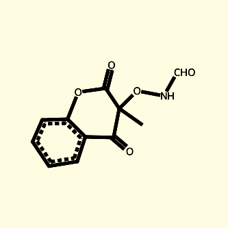 CC1(ONC=O)C(=O)Oc2ccccc2C1=O